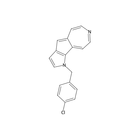 Clc1ccc(Cn2ccc3cc4ccnccc-4c32)cc1